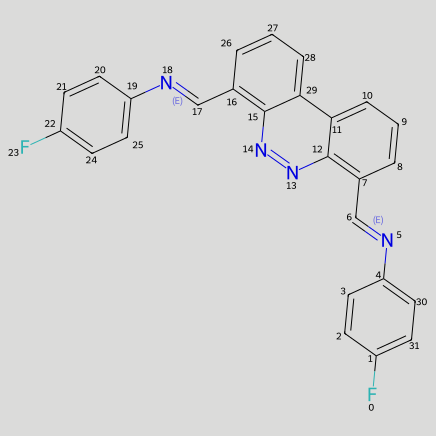 Fc1ccc(/N=C/c2cccc3c2nnc2c(/C=N/c4ccc(F)cc4)cccc23)cc1